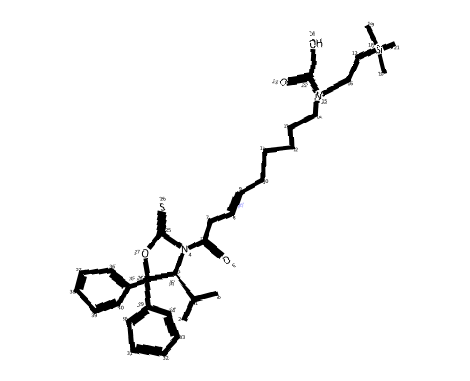 CC(C)[C@@H]1N(C(=O)C/C=C/CCCCCN(CC[Si](C)(C)C)C(=O)O)C(=S)OC1(c1ccccc1)c1ccccc1